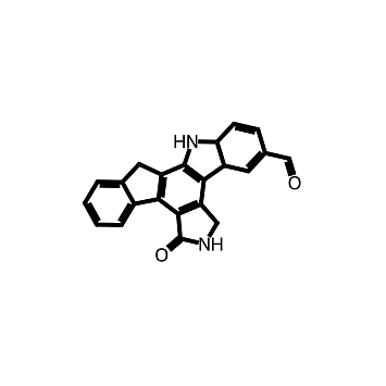 O=CC1=CC2c3c4c(c5c(c3NC2C=C1)Cc1ccccc1-5)C(=O)NC4